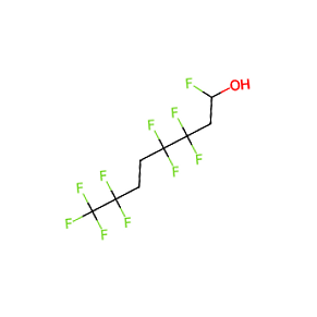 OC(F)CC(F)(F)C(F)(F)CCC(F)(F)C(F)(F)F